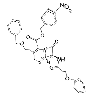 O=C(COc1ccccc1)N[C@@H]1C(=O)N2C(C(=O)OCc3ccc([N+](=O)[O-])cc3)=C(COCc3ccccc3)CS[C@@H]12